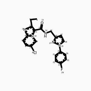 CCc1nc2ccc(Cl)cn2c1C(=O)NCc1ccn(-c2ccc(F)cc2)n1